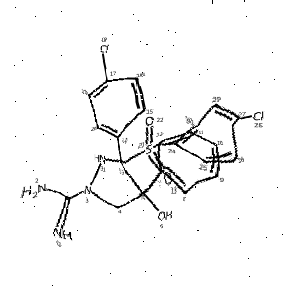 N=C(N)N1CC(O)(c2ccccc2)C(c2ccc(Cl)cc2)(S(=O)(=O)c2ccc(Cl)cc2)N1